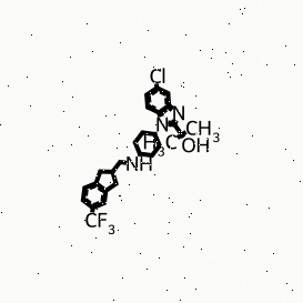 CC(C)(O)c1nc2cc(Cl)ccc2n1[C@H]1CC[C@@H](NCC2Cc3ccc(C(F)(F)F)cc3C2)CC1